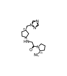 N#C[C@@H]1CCCN1C(=O)CN[C@@H]1CC[C@@H](Cn2cncn2)C1